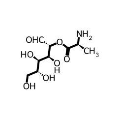 C[C@H](N)C(=O)O[C@@H](C=O)[C@@H](O)[C@H](O)[C@H](O)CO